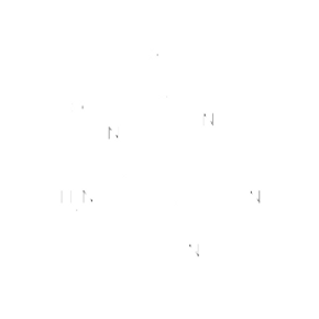 NC1=[N+]([O-])C(=S)N=C2N=CN=C21